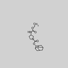 CCOC(=O)NC1CCN(C(=O)OC2C3CC4CC(C3)CC2C4)C1